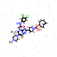 CC(=O)N1CCN(c2c(C)n(CC(=O)Nc3ccc(Cl)c(Cl)c3)c3nc(C4=CCN(C(O)OC5CC/C=C/CCC5)CC4)nn3c2=O)CC1